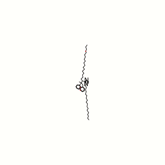 CCCCCCCCCCCCCCCCCCC(c1nccn1CCCCCCCCCCCCCCCCCC)C(C)(Cc1ccccc1)c1ccccc1